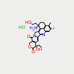 CC[C@@]1(O)C(=O)OCc2c1cc1n(c2=O)Cc2c-1nc1cc(F)c(C)c3c1c2[C@@](N)(CCO)CC3.Cl